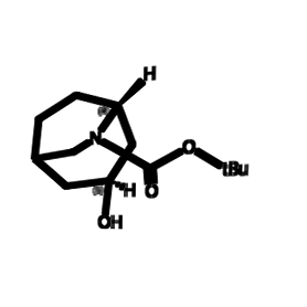 CC(C)(C)OC(=O)N1CC2CC[C@@H]1C[C@@H](O)C2